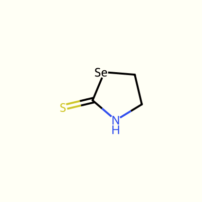 S=C1NCC[Se]1